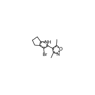 Cc1noc(C)c1-c1[nH]c2c(c1Br)CCC2